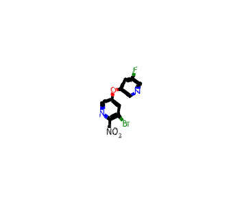 O=[N+]([O-])c1ncc(Oc2cncc(F)c2)cc1Br